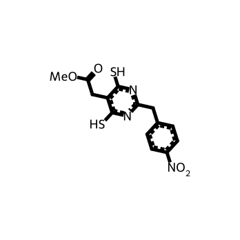 COC(=O)Cc1c(S)nc(Cc2ccc([N+](=O)[O-])cc2)nc1S